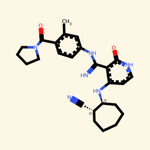 Cc1cc(NC(=N)c2c(N[C@H]3CCCCC[C@@H]3C#N)cc[nH]c2=O)ccc1C(=O)N1CCCC1